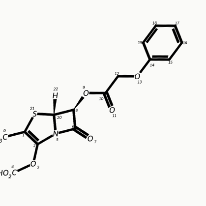 CC1=C(OC(=O)O)N2C(=O)[C@H](OC(=O)COc3ccccc3)[C@H]2S1